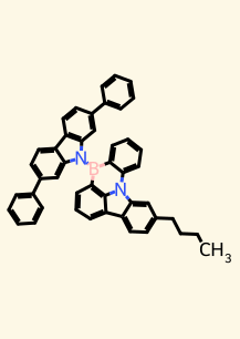 CCCCc1ccc2c3cccc4c3n(c2c1)-c1ccccc1B4n1c2cc(-c3ccccc3)ccc2c2ccc(-c3ccccc3)cc21